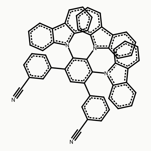 N#Cc1cccc(-c2cc(-c3cccc(C#N)c3)c(-n3c4ccccc4c4ccccc43)c(-n3c4ccccc4c4ccccc43)c2-n2c3ccccc3c3ccccc32)c1